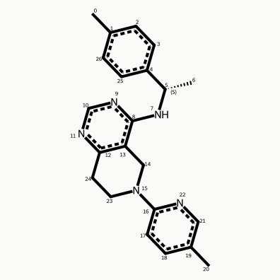 Cc1ccc([C@H](C)Nc2ncnc3c2CN(c2ccc(C)cn2)CC3)cc1